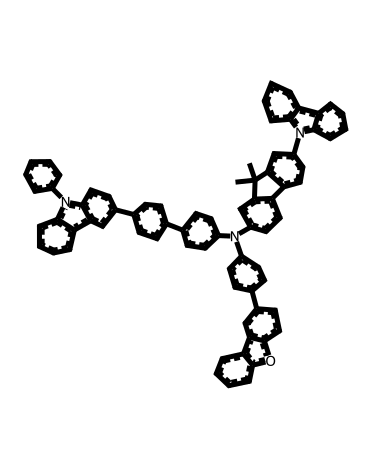 CC1(C)c2cc(N(c3ccc(-c4ccc(-c5ccc6c(c5)c5ccccc5n6-c5ccccc5)cc4)cc3)c3ccc(-c4ccc5oc6ccccc6c5c4)cc3)ccc2-c2ccc(-n3c4ccccc4c4ccccc43)cc21